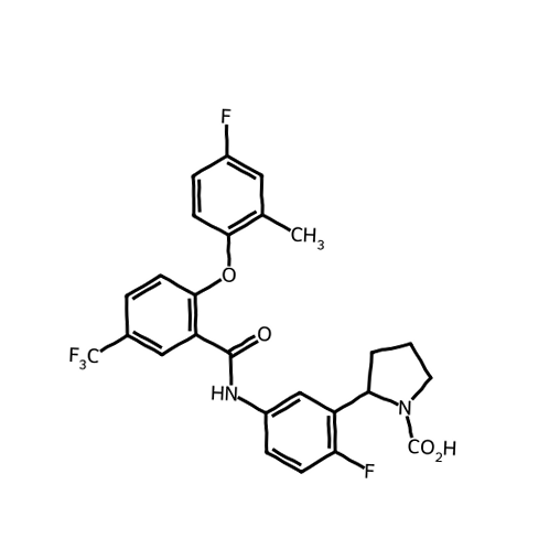 Cc1cc(F)ccc1Oc1ccc(C(F)(F)F)cc1C(=O)Nc1ccc(F)c(C2CCCN2C(=O)O)c1